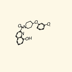 COc1cccc(OC2CCN(C(=O)c3ccc4cccc(O)c4n3)CC2)c1